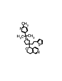 Cc1ccc(C(C)(C)N2CCC(CCc3cccs3)(C3OCCc4cnccc43)C2)cn1